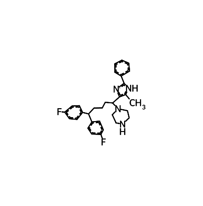 Cc1[nH]c(-c2ccccc2)nc1C(CCCC(c1ccc(F)cc1)c1ccc(F)cc1)N1CCNCC1